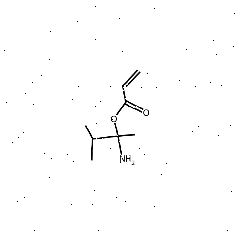 C=CC(=O)OC(C)(N)C(C)C